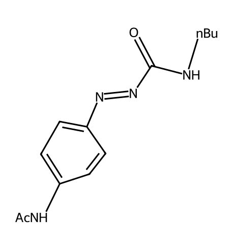 CCCCNC(=O)N=Nc1ccc(NC(C)=O)cc1